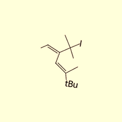 C/C=C(\C=C(/C)C(C)(C)C)C(C)(C)I